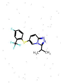 CC(C)c1nnc2ccc(Sc3ccc(F)cc3C(F)(F)F)cn12